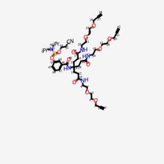 C#CCOCCOCCNC(=O)CCC(CCC(=O)NCCOCCOCC#C)(CCC(=O)NCCOCCOCC#C)NC(=O)c1cccc(OP(OCCC#N)N(C(C)C)C(C)C)c1